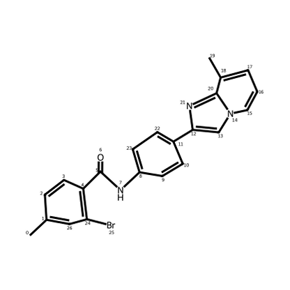 Cc1ccc(C(=O)Nc2ccc(-c3cn4cccc(C)c4n3)cc2)c(Br)c1